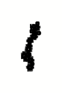 Nc1ncnc2c1c(-c1ccc(Oc3ccccc3)cc1)nn2C1CCC2(CC1)CN([C@H]1CCN(c3ccc4c(c3)C(=O)N(C3CCC(=O)NC3=O)C4=O)C1)C2